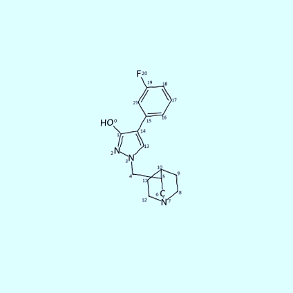 Oc1nn(CC2CN3CCC2CC3)cc1-c1cccc(F)c1